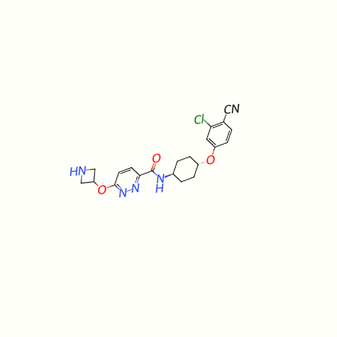 N#Cc1ccc(O[C@H]2CC[C@H](NC(=O)c3ccc(OC4CNC4)nn3)CC2)cc1Cl